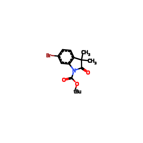 CC(C)(C)OC(=O)N1C(=O)C(C)(C)c2ccc(Br)cc21